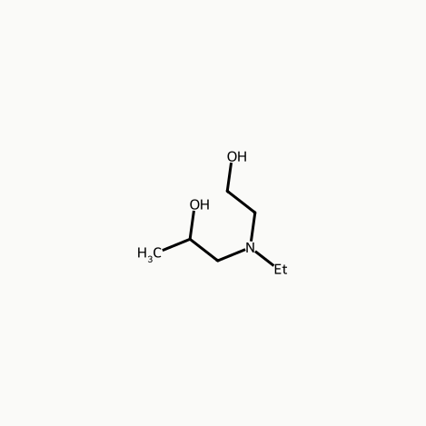 CCN(CCO)CC(C)O